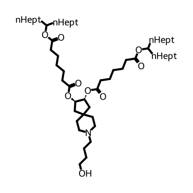 CCCCCCCC(CCCCCCC)OC(=O)CCCCCC(=O)O[C@@H]1CC2(CCN(CCCCO)CC2)C[C@H]1OC(=O)CCCCCC(=O)OC(CCCCCCC)CCCCCCC